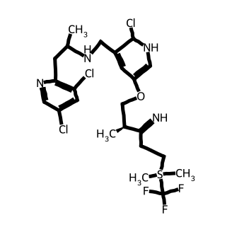 CC(Cc1ncc(Cl)cc1Cl)NCC1=CC(OC[C@H](C)C(=N)CCS(C)(C)C(F)(F)F)=CNC1Cl